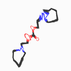 O=C(OCCN1CCCCC1)OCCN1CCCCC1